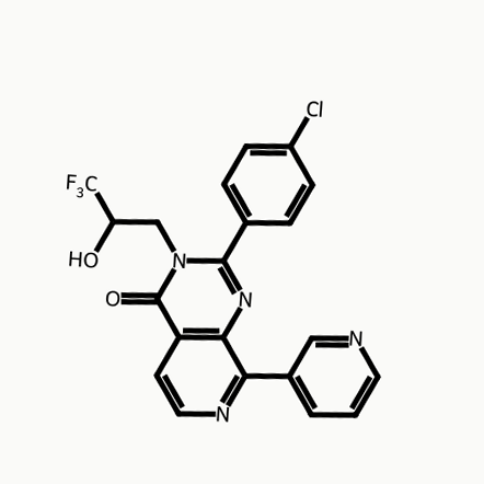 O=c1c2ccnc(-c3cccnc3)c2nc(-c2ccc(Cl)cc2)n1CC(O)C(F)(F)F